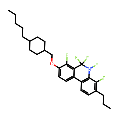 CCCCCC1CCC(COc2ccc3c(c2F)C(F)(F)N(F)c2c-3ccc(CCC)c2F)CC1